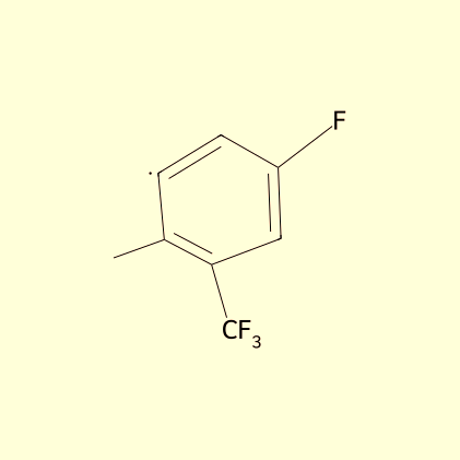 Cc1[c]cc(F)cc1C(F)(F)F